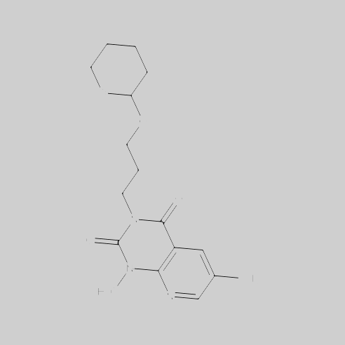 Cc1cnc2c(c1)c(=O)n(CCCOC1CCCCO1)c(=O)n2C